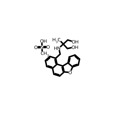 CC(CO)(CO)NCc1cccc2ccc3oc4ccccc4c3c12.CS(=O)(=O)O